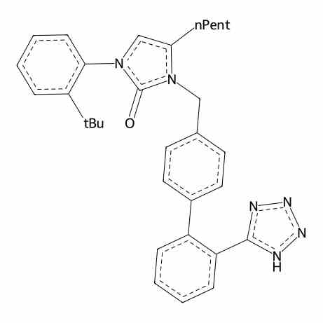 CCCCCc1cn(-c2ccccc2C(C)(C)C)c(=O)n1Cc1ccc(-c2ccccc2-c2nnn[nH]2)cc1